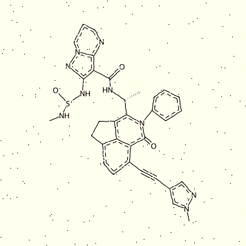 CN[S+]([O-])Nc1nn2cccnc2c1C(=O)N[C@H](C)c1c2c3c(ccc(C#Cc4cnn(C)c4)c3c(=O)n1-c1ccccc1)CC2